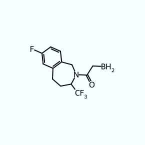 BCC(=O)N1Cc2ccc(F)cc2CCC1C(F)(F)F